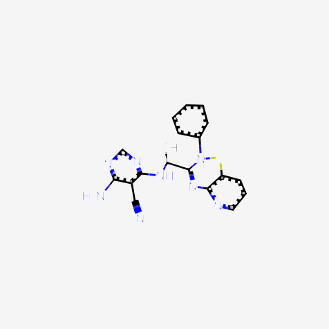 C[C@H](Nc1ncnc(N)c1C#N)C1=Nc2ncccc2SN1c1ccccc1